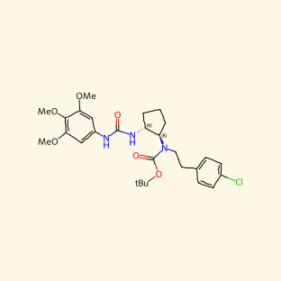 COc1cc(NC(=O)N[C@@H]2CCC[C@H]2N(CCc2ccc(Cl)cc2)C(=O)OC(C)(C)C)cc(OC)c1OC